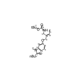 CCCCc1nc2ccc(OCC(=CF)CNC(=O)OC(C)(C)C)cc2n1C